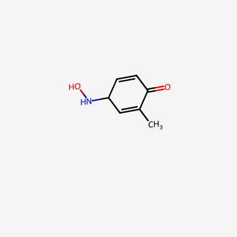 CC1=CC(NO)C=CC1=O